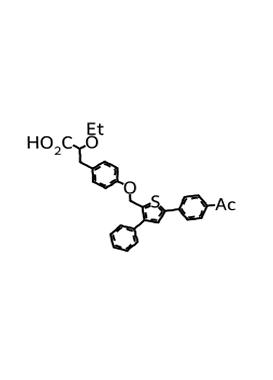 CCOC(Cc1ccc(OCc2sc(-c3ccc(C(C)=O)cc3)cc2-c2ccccc2)cc1)C(=O)O